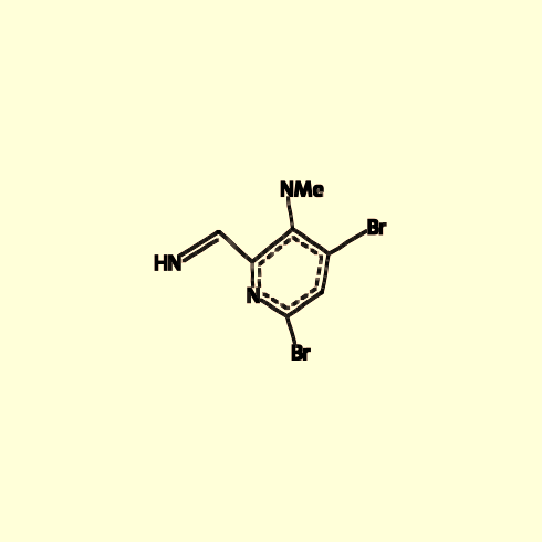 CNc1c(Br)cc(Br)nc1C=N